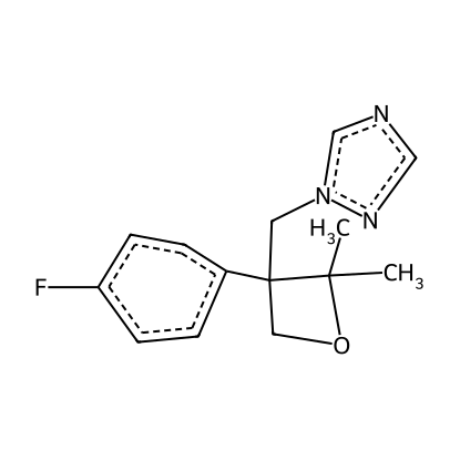 CC1(C)OCC1(Cn1cncn1)c1ccc(F)cc1